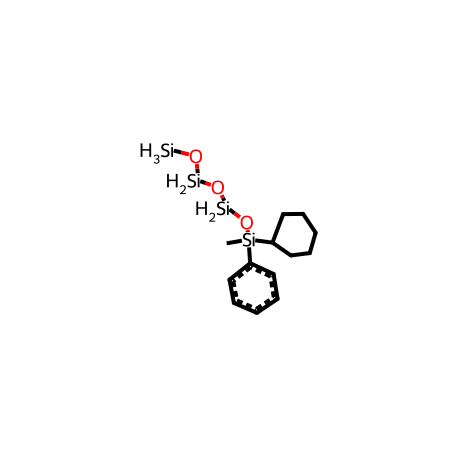 C[Si](O[SiH2]O[SiH2]O[SiH3])(c1ccccc1)C1CCCCC1